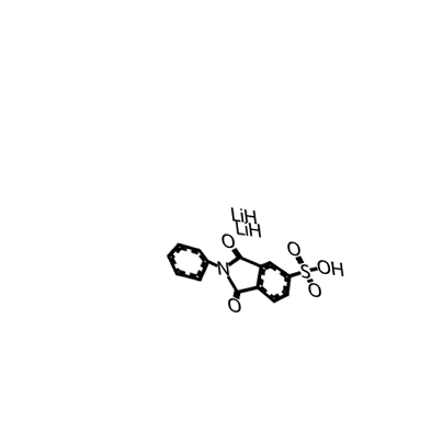 O=C1c2ccc(S(=O)(=O)O)cc2C(=O)N1c1ccccc1.[LiH].[LiH]